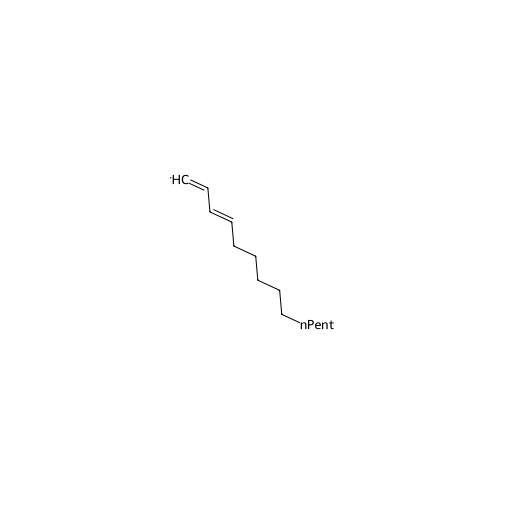 [CH]=CC=CCCCCCCCCCC